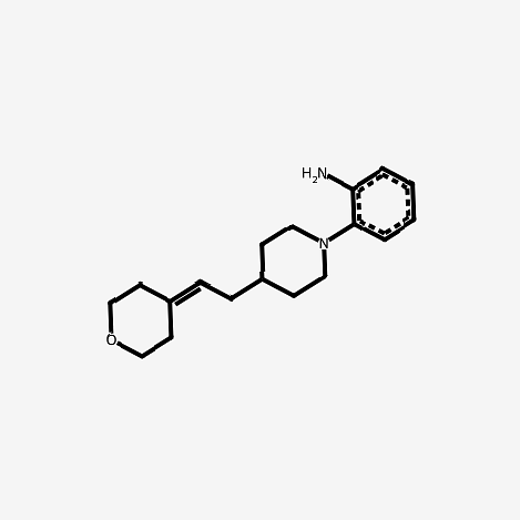 Nc1ccccc1N1CCC(CC=C2CCOCC2)CC1